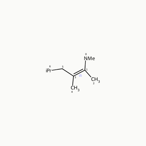 CN/C(C)=C(/C)CC(C)C